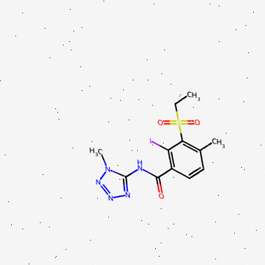 CCS(=O)(=O)c1c(C)ccc(C(=O)Nc2nnnn2C)c1I